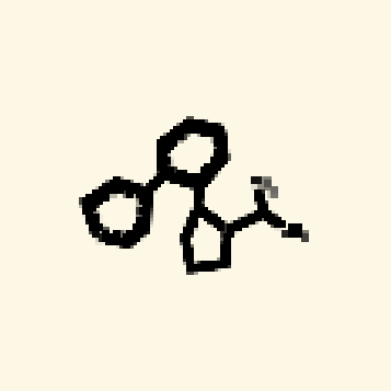 CC(C)N1CCCC1c1ccccc1-c1ccncc1